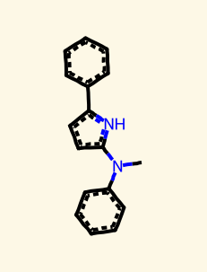 CN(c1ccccc1)c1ccc(-c2ccccc2)[nH]1